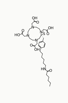 CCCCCC(=O)NCCCCCCc1ccc(C[C@]23CN(CC(=O)O)CCN(CC(=O)O)CCN(CC(=O)O)CC[N+]2(CC(=O)O)S3)cc1